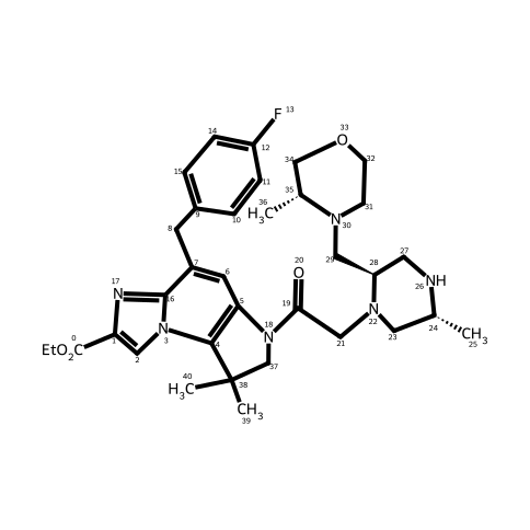 CCOC(=O)c1cn2c3c(cc(Cc4ccc(F)cc4)c2n1)N(C(=O)CN1C[C@@H](C)NC[C@@H]1CN1CCOC[C@H]1C)CC3(C)C